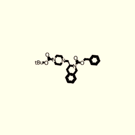 CC(C)(C)OC(=O)N1CCN(C[C@@H]2Cc3ccccc3CN2C(=O)OCc2ccccc2)CC1